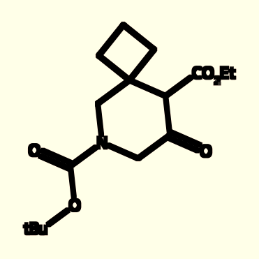 CCOC(=O)C1C(=O)CN(C(=O)OC(C)(C)C)CC12CCC2